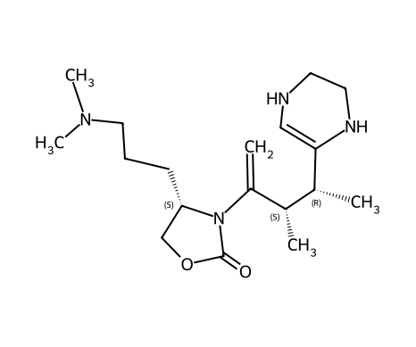 C=C([C@@H](C)[C@@H](C)C1=CNCCN1)N1C(=O)OC[C@@H]1CCCN(C)C